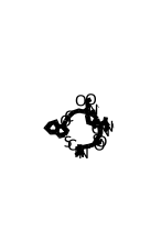 COC(=O)c1c2c3ccc(Cl)c(c3n1C)-c1c(nn(C)c1C)CS(=O)(=O)Cc1cc(n(C)n1)CSc1cc(c3ccccc3c1)OCCC2